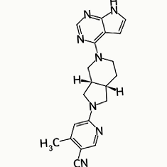 Cc1cc(N2C[C@H]3CCN(c4ncnc5[nH]ccc45)C[C@H]3C2)ncc1C#N